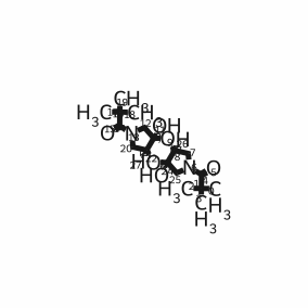 CC(C)(C)C(=O)N1C[C@@H]2O[C@@]3(O)CN(C(=O)C(C)(C)C)C[C@@H]3O[C@@]2(O)C1